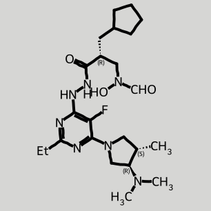 CCc1nc(NNC(=O)[C@H](CC2CCCC2)CN(O)C=O)c(F)c(N2C[C@H](C)[C@@H](N(C)C)C2)n1